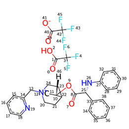 O=C(O)C(F)(F)F.O=C(O[C@H]1C[N+]2(Cc3ccccn3)CCC1CC2)[C@H](Nc1ccccc1)c1ccccc1.O=C([O-])C(F)(F)F